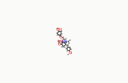 COc1ccc(C(C[C@H](C)NC[C@H](O)COc2ccc(O)cc2)c2ccc(OC)cc2)cc1